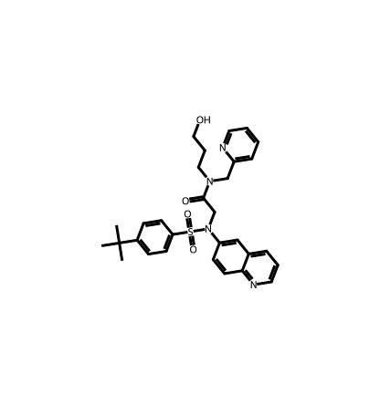 CC(C)(C)c1ccc(S(=O)(=O)N(CC(=O)N(CCCO)Cc2ccccn2)c2ccc3ncccc3c2)cc1